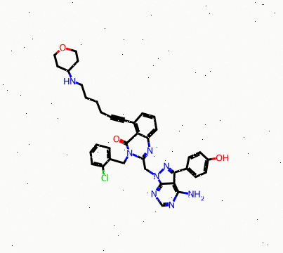 Nc1ncnc2c1c(-c1ccc(O)cc1)nn2Cc1nc2cccc(C#CCCCCNC3CCOCC3)c2c(=O)n1Cc1ccccc1Cl